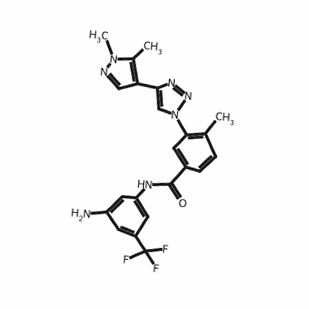 Cc1ccc(C(=O)Nc2cc(N)cc(C(F)(F)F)c2)cc1-n1cc(-c2cnn(C)c2C)nn1